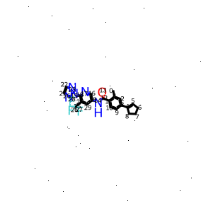 Cc1cc(C2=CCCC2)ccc1C(=O)Nc1cnc(-n2nccn2)c(C(F)(F)F)c1